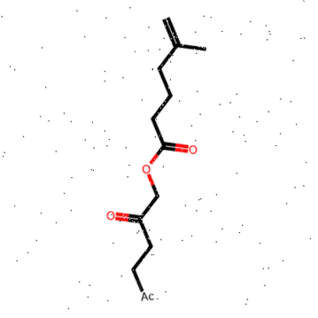 C=C(C)CCCC(=O)OCC(=O)CCC(C)=O